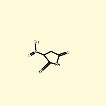 O=C1CC(S(=O)O)C(=O)N1